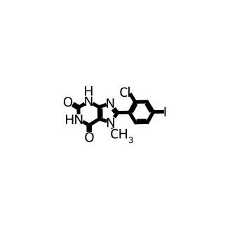 Cn1c(-c2ccc(I)cc2Cl)nc2[nH]c(=O)[nH]c(=O)c21